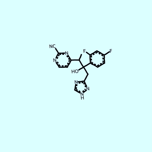 CC(c1ccnc(C#N)n1)C(O)(Cc1nc[nH]n1)c1ccc(F)cc1F